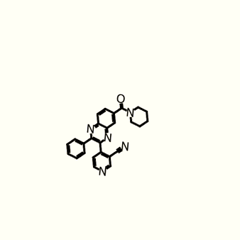 N#Cc1cnccc1-c1nc2cc(C(=O)N3CCCCC3)ccc2nc1-c1ccccc1